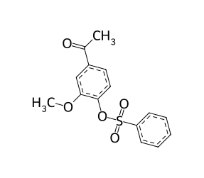 COc1cc(C(C)=O)ccc1OS(=O)(=O)c1ccccc1